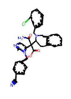 N#Cc1ccc(Cn2cncc2C(C(N)=O)(C(=O)O)C2Cc3ccccc3CN2Cc2ccccc2Cl)cc1